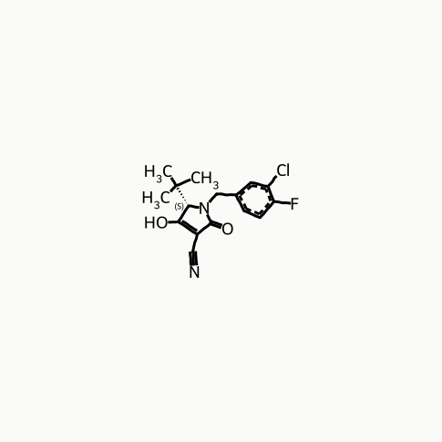 CC(C)(C)[C@H]1C(O)=C(C#N)C(=O)N1Cc1ccc(F)c(Cl)c1